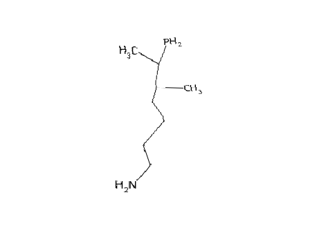 CC(P)C(C)CCCCN